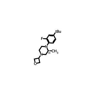 C[C@H]1CN(C2COC2)CCN1c1ccc(C(C)(C)C)cc1F